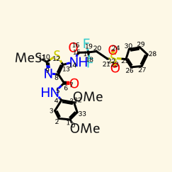 COc1ccc(NC(=O)c2nc(SC)sc2NC(=O)C(F)(F)CCS(=O)(=O)c2ccccc2)c(OC)c1